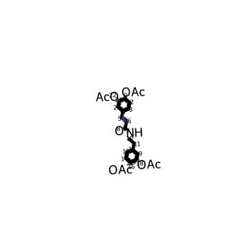 CC(=O)Oc1ccc(/C=C/C(=O)NCCc2ccc(OC(C)=O)c(OC(C)=O)c2)cc1OC(C)=O